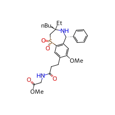 CCCC[C@]1(CC)CS(=O)(=O)c2cc(CCC(=O)NCC(=O)OC)c(OC)cc2[C@@H](c2ccccc2)N1